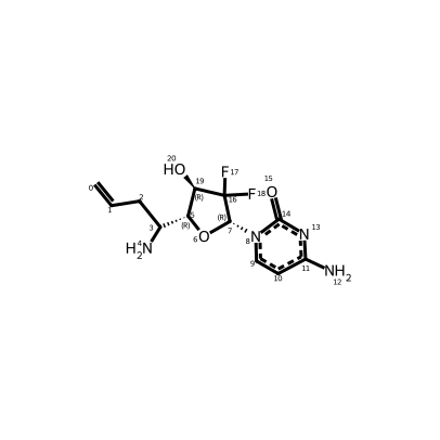 C=CCC(N)[C@H]1O[C@@H](n2ccc(N)nc2=O)C(F)(F)[C@@H]1O